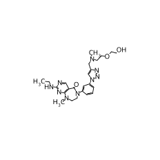 CCNc1ncc2c(n1)N(C)CCN(c1cccc(-n3cc(CN(C)CCOCCO)nn3)c1)C2=O